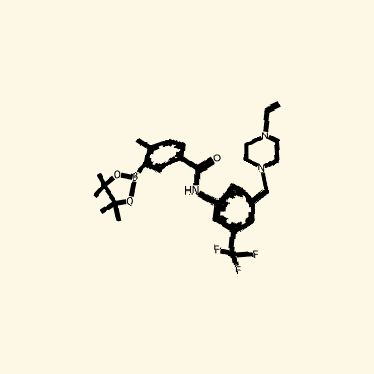 CCN1CCN(Cc2cc(NC(=O)c3ccc(C)c(B4OC(C)(C)C(C)(C)O4)c3)cc(C(F)(F)F)c2)CC1